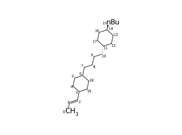 CC=CC1CCC(CCCC[C@H]2CC[C@H](CCCC)CC2)CC1